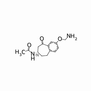 CC(=O)N[C@H]1CCc2ccc(OCN)cc2C(=O)C1